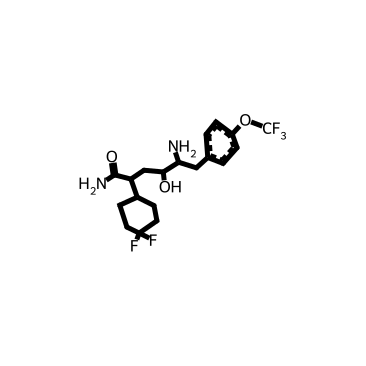 NC(=O)C(CC(O)C(N)Cc1ccc(OC(F)(F)F)cc1)C1CCC(F)(F)CC1